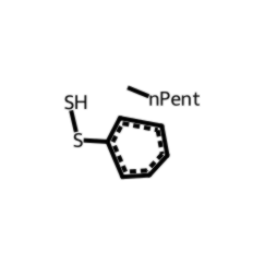 CCCCCC.SSc1ccccc1